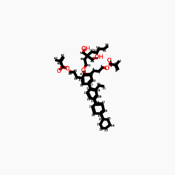 C=C(C)C(=O)OCCCc1cc(-c2ccc(-c3ccc(C4CCCCC4)cc3)cc2CC)cc(CCCOC(=O)C(=C)C)c1OCCC(CO)(CO)CCCCC